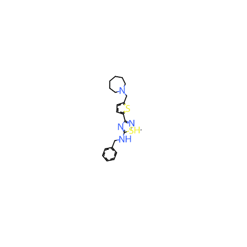 c1ccc(CNC2=NC(c3ccc(CN4CCCCCC4)s3)=N[SH]2)cc1